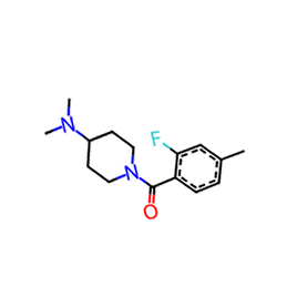 Cc1ccc(C(=O)N2CCC(N(C)C)CC2)c(F)c1